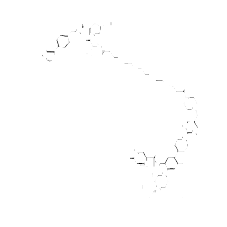 Cc1ncsc1-c1ccc(CNC(=O)[C@@H]2C[C@@H](O)CN2C(=O)[C@@H](NC(=O)CCOCCOCCOCCOCCC(=O)N2CCN(Cc3cnc(N4CC=C(c5cc(NC(=O)c6c[nH]c(=O)cc6C(F)(F)F)c(N6C[C@@H](C)N(C)[C@@H](C)C6)cc5F)CC4)nc3)CC2)C(C)(C)C)cc1